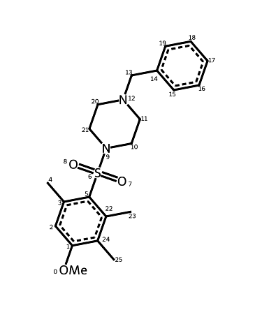 COc1cc(C)c(S(=O)(=O)N2CCN(Cc3ccccc3)CC2)c(C)c1C